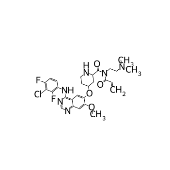 C=CC(=O)N(CCN(C)C)C(=O)C1CC(Oc2cc3c(Nc4ccc(F)c(Cl)c4F)ncnc3cc2OC)CCN1